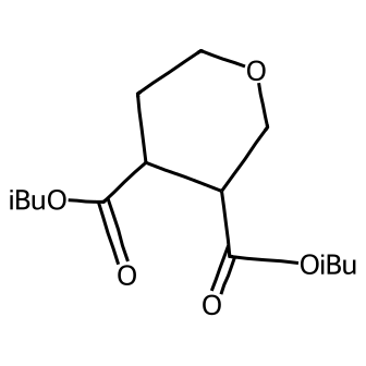 CC(C)COC(=O)C1CCOCC1C(=O)OCC(C)C